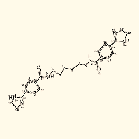 O=C(NCCCCCCNC(=O)c1ccc(C2=NCCN2)cc1)c1ccc(C2=NCCN2)cc1